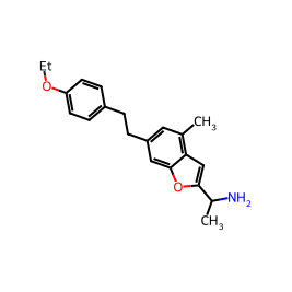 CCOc1ccc(CCc2cc(C)c3cc(C(C)N)oc3c2)cc1